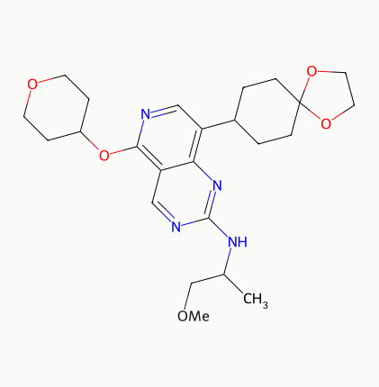 COCC(C)Nc1ncc2c(OC3CCOCC3)ncc(C3CCC4(CC3)OCCO4)c2n1